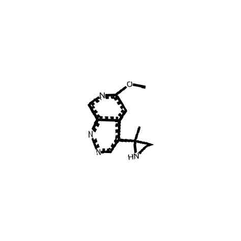 COc1cc2c(C3(C)CN3)cnnc2cn1